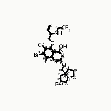 C=CC(COc1c(Cl)c(Br)c(F)c2nc(OC[C@@]34CCCN3C[C@H](F)C4)nc(O)c12)NCC(F)(F)F